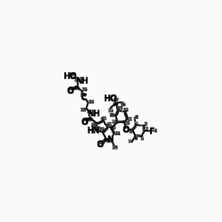 Cc1cc(F)cc(C)c1Oc1ccc(C(C)(C)O)cc1-c1cn(C)c(=O)c2[nH]c(C(=O)NCCCCC(=O)NO)cc12